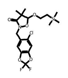 CC1(C)C(=O)N(Cc2cc3c(cc2Cl)OC(F)(F)O3)OC1OCC[Si](C)(C)C